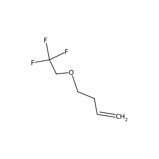 C=CCCOCC(F)(F)F